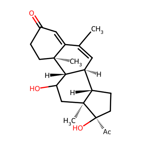 CC(=O)[C@@]1(O)CC[C@H]2[C@@H]3C=C(C)C4=CC(=O)CC[C@]4(C)[C@H]3C(O)C[C@@]21C